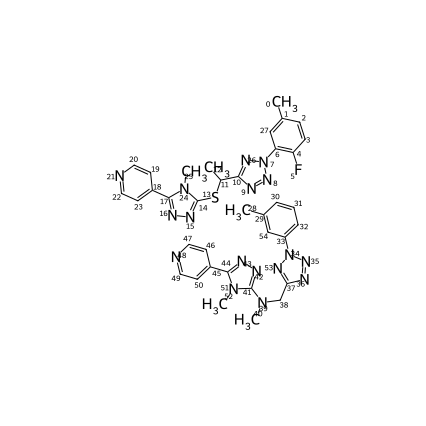 Cc1ccc(F)c(-n2nnc(C(C)Sc3nnc(-c4ccncc4)n3C)n2)c1.Cc1cccc(-n2nnc(CN(C)c3nnc(-c4ccncc4)n3C)n2)c1